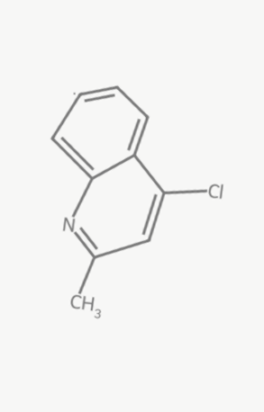 Cc1cc(Cl)c2cc[c]cc2n1